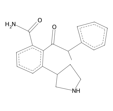 CC(C(=O)c1c(C(N)=O)cccc1C1CCNC1)c1ccccc1